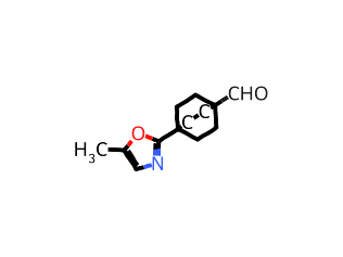 Cc1cnc(C23CCC(C=O)(CC2)CC3)o1